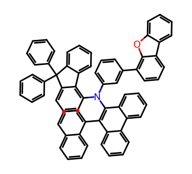 c1ccc(C2(c3ccccc3)c3ccccc3-c3c(N(c4cccc(-c5cccc6c5oc5ccccc56)c4)c4c(-c5cccc6ccccc56)c5ccccc5c5ccccc45)cccc32)cc1